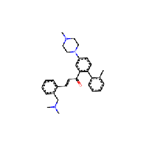 Cc1ccccc1-c1ccc(N2CCN(C)CC2)cc1C(=O)C=Cc1ccccc1CN(C)C